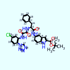 CC(C)(C)OC(=O)c1cc2cc(NC(=O)C(Cc3ccccc3)NC(=O)C(=O)Nc3cc(Cl)ccc3-n3cnnn3)ccc2[nH]1